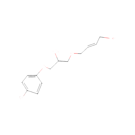 OCC=CCOCC(O)COc1ccc(Br)cc1